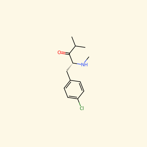 CN[C@H](Cc1ccc(Cl)cc1)C(=O)C(C)C